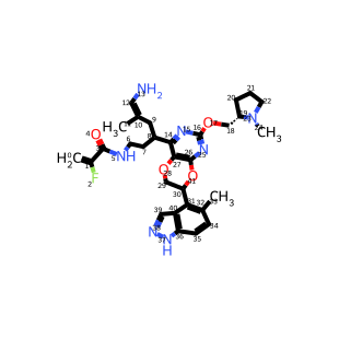 C=C(F)C(=O)NCCC(C/C(C)=C\N)c1nc(OC[C@@H]2CCCN2C)nc2c1OCC(c1c(C)ccc3[nH]ncc13)O2